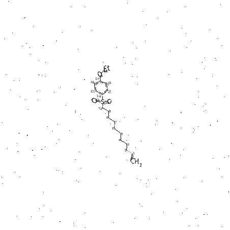 C=CCCCCCCCCCS(=O)(=O)c1ccc(OCC)cc1